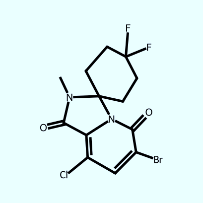 CN1C(=O)c2c(Cl)cc(Br)c(=O)n2C12CCC(F)(F)CC2